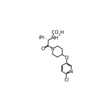 CC(C)[C@H](NC(=O)O)C(=O)N1CCC(Oc2ccc(Cl)nc2)CC1